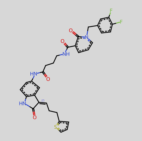 O=C(CCCNC(=O)c1cccn(Cc2ccc(F)c(F)c2)c1=O)Nc1ccc2c(c1)/C(=C/CCc1cccs1)C(=O)N2